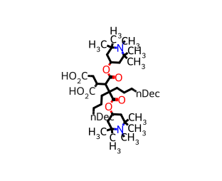 CCCCCCCCCCCCCC(CCCCCCCCCCCCC)(C(=O)OC1CC(C)(C)N(C)C(C)(C)C1)C(C(=O)OC1CC(C)(C)N(C)C(C)(C)C1)C(CC(=O)O)C(=O)O